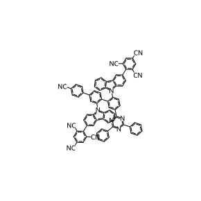 N#Cc1ccc(-c2ccc(-c3cc(-c4nc(-c5ccccc5)nc(-c5ccccc5)n4)ccc3-n3c4ccccc4c4cc(-c5c(C#N)cc(C#N)cc5C#N)ccc43)c(-n3c4ccccc4c4cc(-c5c(C#N)cc(C#N)cc5C#N)ccc43)c2)cc1